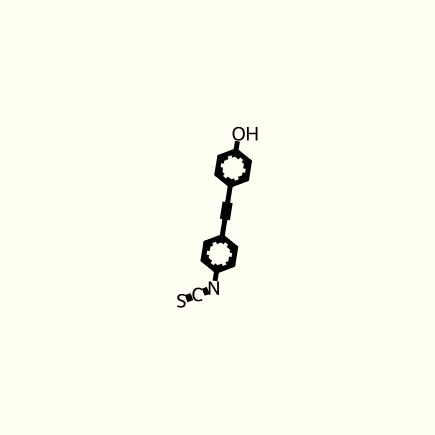 Oc1ccc(C#Cc2ccc(N=C=S)cc2)cc1